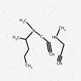 C#CCN(C)C(C)CCC.C#CCNC